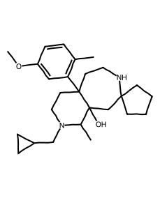 COc1ccc(C)c(C23CCNC4(CCCC4)CC2(O)C(C)N(CC2CC2)CC3)c1